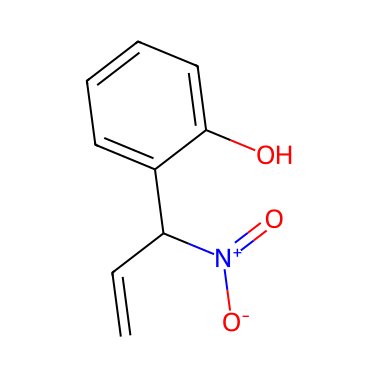 C=CC(c1ccccc1O)[N+](=O)[O-]